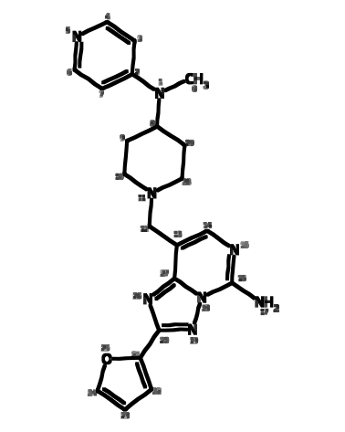 CN(c1ccncc1)C1CCN(Cc2cnc(N)n3nc(-c4ccco4)nc23)CC1